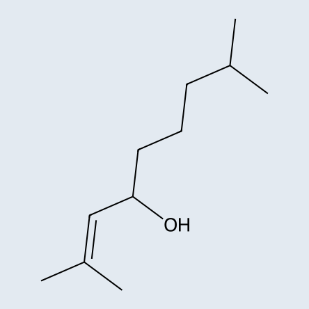 CC(C)=CC(O)CCCC(C)C